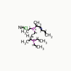 C=C/C=C/C(C)P(CC)CC.CCP(CC)CC.[Cl][Ni]